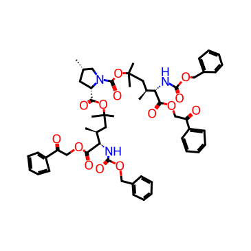 C[C@H]1C[C@@H](C(=O)OC(C)(C)C[C@H](C)[C@H](NC(=O)OCc2ccccc2)C(=O)OCC(=O)c2ccccc2)N(C(=O)OC(C)(C)C[C@H](C)[C@H](NC(=O)OCc2ccccc2)C(=O)OCC(=O)c2ccccc2)C1